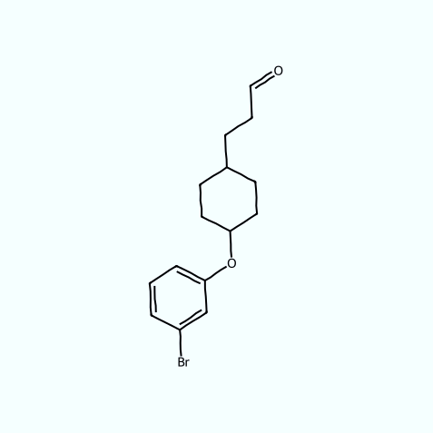 O=CCCC1CCC(Oc2cccc(Br)c2)CC1